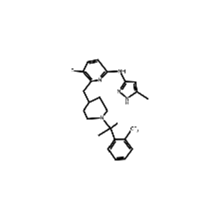 Cc1cc(Nc2ccc(F)c(CC3CCN(C(C)(C)c4ccccc4C(F)(F)F)CC3)n2)n[nH]1